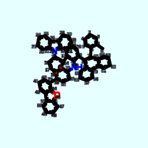 Cc1ccccc1-c1c(-c2cccc(-c3ccccc3-n3c4ccccc4c4ccccc43)c2Nc2ccc(-c3cccc4c3oc3ccccc34)cc2)c2ccccc2c2ccccc12